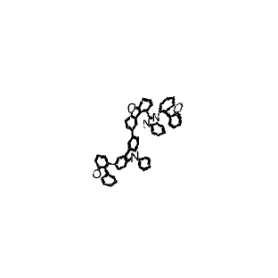 c1ccc(-n2c3ccc(-c4ccc5oc6cccc(-c7nc8ccccc8n7-c7cccc8oc9ccccc9c78)c6c5c4)cc3c3cc(-c4cccc5oc6ccccc6c45)ccc32)cc1